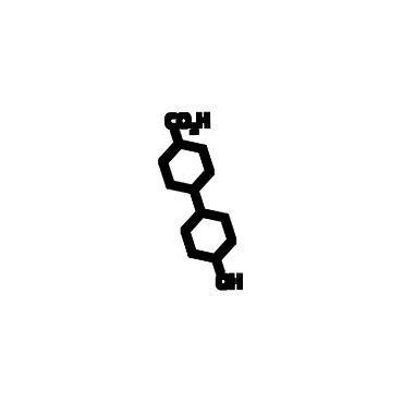 O=C(O)C1CCC(C2CCC(O)CC2)CC1